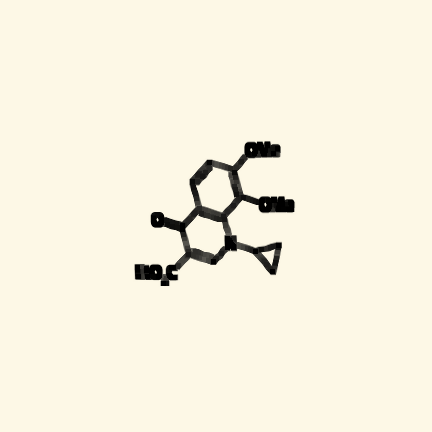 CCOC(=O)c1cn(C2CC2)c2c(OC)c(OC)ccc2c1=O